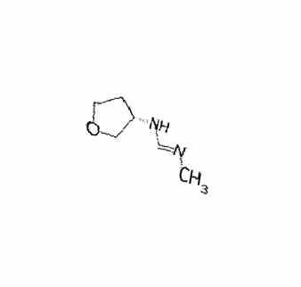 C/N=C/N[C@H]1CCOC1